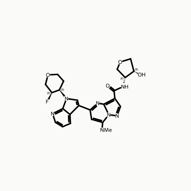 CNc1cc(-c2cn([C@@H]3CCOC[C@@H]3F)c3ncccc23)nc2c(C(=O)N[C@@H]3COC[C@@H]3O)cnn12